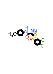 Cc1ccc(NC(=O)c2nnsc2[S+]([O-])c2ccc(Cl)c(Cl)c2)cc1